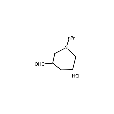 CCCN1CCCC(C=O)C1.Cl